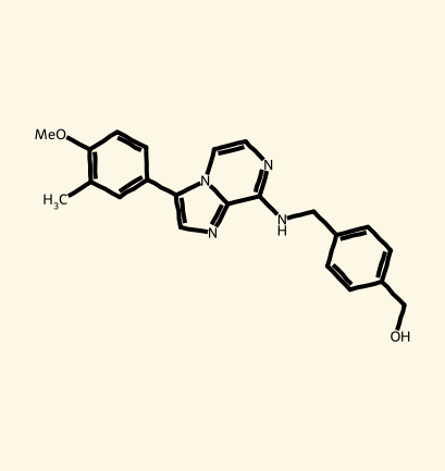 COc1ccc(-c2cnc3c(NCc4ccc(CO)cc4)nccn23)cc1C